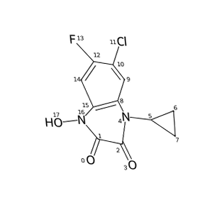 O=c1c(=O)n(C2CC2)c2cc(Cl)c(F)cc2n1O